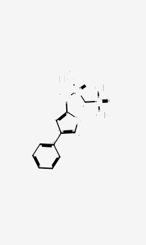 O=P(O)(O)CP(O)(=S)Oc1cc(-c2ccccc2)cs1